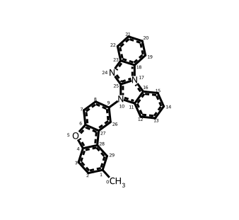 Cc1ccc2oc3ccc(-n4c5ccccc5n5c6ccccc6nc45)cc3c2c1